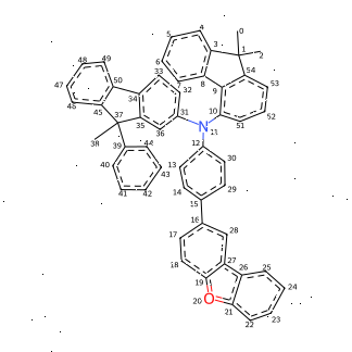 CC1(C)c2ccccc2-c2c(N(c3ccc(-c4ccc5oc6ccccc6c5c4)cc3)c3ccc4c(c3)C(C)(c3ccccc3)c3ccccc3-4)cccc21